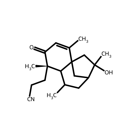 CC1=CC(=O)[C@@](C)(CCC#N)C2C(C)CC3CC12CC3(C)O